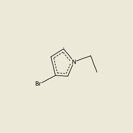 CCn1[c]cc(Br)c1